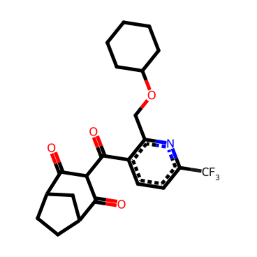 O=C(c1ccc(C(F)(F)F)nc1COC1CCCCC1)C1C(=O)C2CCC(C2)C1=O